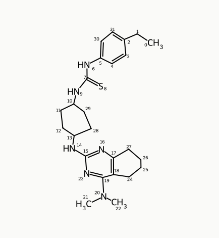 CCc1ccc(NC(=S)NC2CCC(Nc3nc4c(c(N(C)C)n3)CCCC4)CC2)cc1